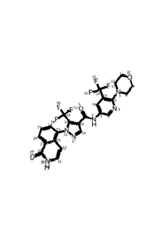 O=C(Nc1cnc(N2CCOCC2)c(C(F)(F)F)c1)c1cnn(-c2cccc3c(=O)[nH]ccc23)c1C(F)(F)F